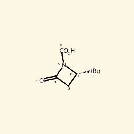 CC(C)(C)[C@@H]1CC(=O)N1C(=O)O